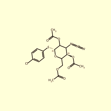 CC(=O)OCC1O[C@H](Sc2ccc(Cl)cc2)C(OC(C)=O)C(N=[N+]=[N-])[C@H]1OC(C)=O